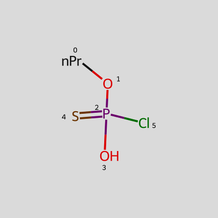 CCCOP(O)(=S)Cl